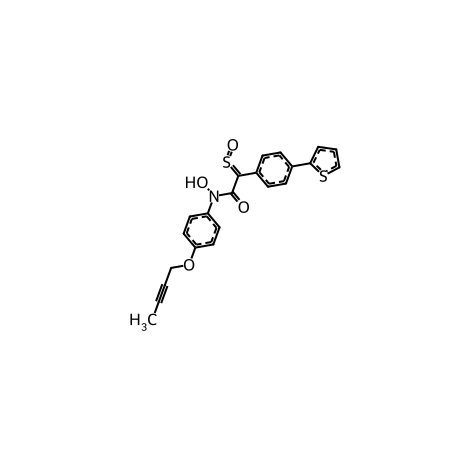 CC#CCOc1ccc(N(O)C(=O)C(=S=O)c2ccc(-c3cccs3)cc2)cc1